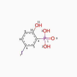 O=P(O)(O)c1cc(I)ccc1O